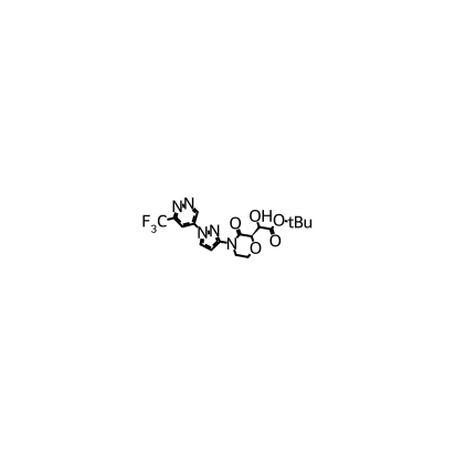 CC(C)(C)OC(=O)C(O)[C@H]1OCCN(c2ccn(-c3cnnc(C(F)(F)F)c3)n2)C1=O